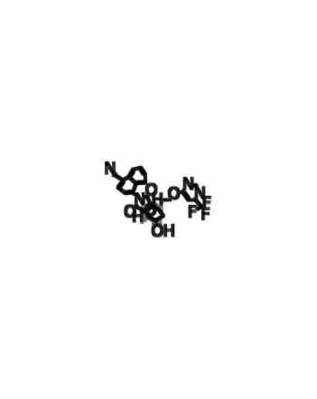 C[C@]12O[C@](CCOc3cc(C(F)(F)F)ncn3)(C[C@@H]1O)[C@H]1C(=O)N(c3ccc(C#N)c4ccccc34)C(=O)[C@H]12